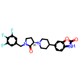 O=C1[C@H](N2CCC(c3ccc4[nH]c(=O)oc4c3)CC2)CCN1Cc1cc(F)c(F)c(F)c1